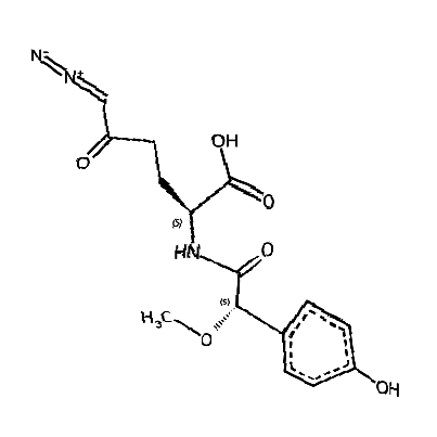 CO[C@H](C(=O)N[C@@H](CCC(=O)C=[N+]=[N-])C(=O)O)c1ccc(O)cc1